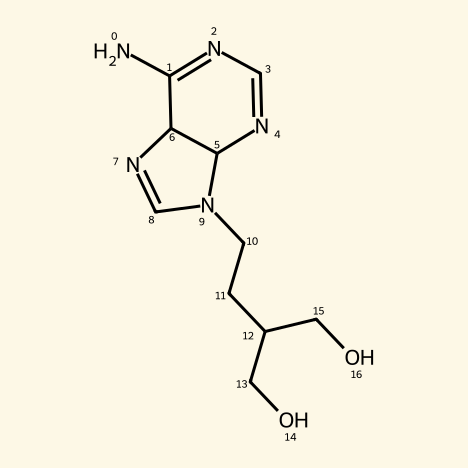 NC1=NC=NC2C1N=CN2CCC(CO)CO